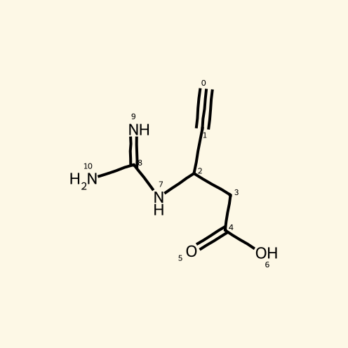 C#CC(CC(=O)O)NC(=N)N